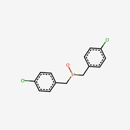 [O-][S+](Cc1ccc(Cl)cc1)Cc1ccc(Cl)cc1